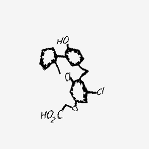 Cc1ccccc1-c1cc(Cc2c(Cl)cc(OCC(=O)O)cc2Cl)ccc1O